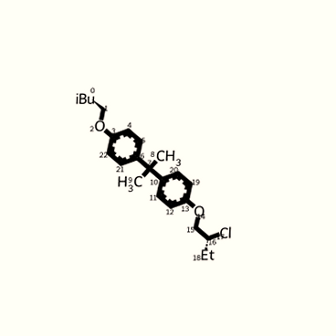 CC[C@H](C)COc1ccc(C(C)(C)c2ccc(OC[C@H](Cl)CC)cc2)cc1